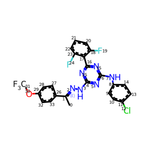 C/C(=N\Nc1nc(Nc2ccc(Cl)cc2)nc(-c2c(F)cccc2F)n1)c1ccc(OC(F)(F)F)cc1